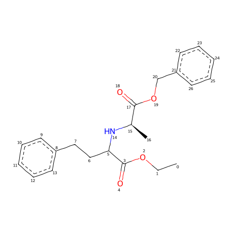 CCOC(=O)C(CCc1ccccc1)N[C@H](C)C(=O)OCc1ccccc1